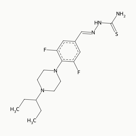 CCC(CC)N1CCN(c2c(F)cc(C=NNC(N)=S)cc2F)CC1